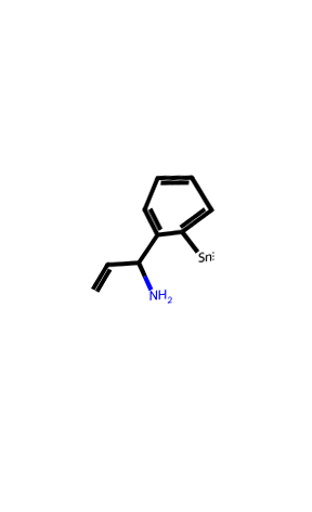 C=CC(N)c1cccc[c]1[Sn]